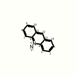 [N].c1ccc2nc3ccccc3cc2c1